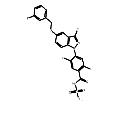 CS(=O)(=O)NC(=O)c1cc(Cl)c(-n2nc(Cl)c3cc(OCc4cccc(F)c4)ccc32)cc1F